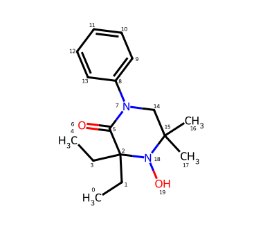 CCC1(CC)C(=O)N(c2ccccc2)CC(C)(C)N1O